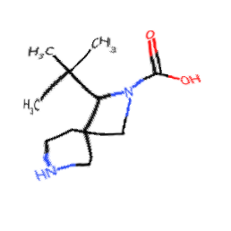 CC(C)(C)C1N(C(=O)O)CC12CNC2